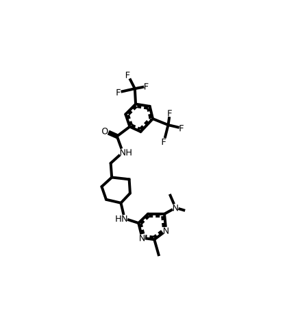 Cc1nc(NC2CCC(CNC(=O)c3cc(C(F)(F)F)cc(C(F)(F)F)c3)CC2)cc(N(C)C)n1